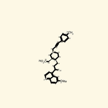 COc1ccc2nccc(C(F)CC[C@@H]3CCN(CC#Cc4ccc(C)cc4)C[C@@H]3CC(=O)O)c2c1